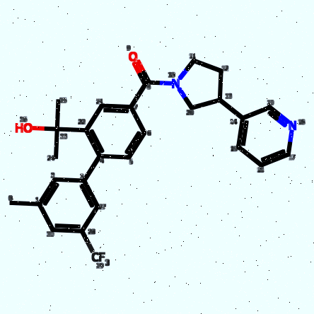 Cc1cc(-c2ccc(C(=O)N3CCC(c4cccnc4)C3)cc2C(C)(C)O)cc(C(F)(F)F)c1